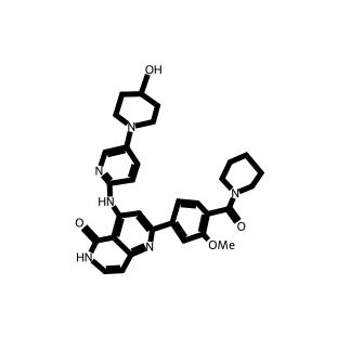 COc1cc(-c2cc(Nc3ccc(N4CCC(O)CC4)cn3)c3c(=O)[nH]ccc3n2)ccc1C(=O)N1CCCCC1